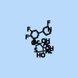 CC(=O)[C@]1(O)[C@@](O)(C(C)=O)CS[C@H](Oc2cc(-c3ccnc(F)c3)cc(F)c2F)[C@@]1(O)C(C)=O